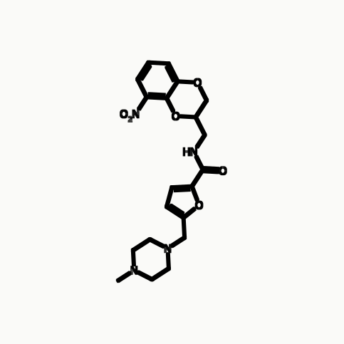 CN1CCN(Cc2ccc(C(=O)NCC3COc4cccc([N+](=O)[O-])c4O3)o2)CC1